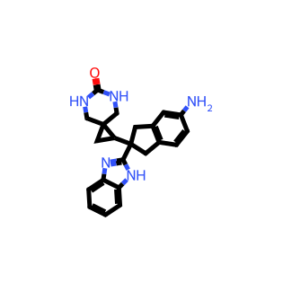 Nc1ccc2c(c1)CC(c1nc3ccccc3[nH]1)(C1CC13CNC(=O)NC3)C2